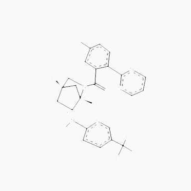 CN(c1ccc(C(F)(F)F)cn1)[C@@H]1C[C@H]2C[C@@H]1N(C(=O)c1cc(F)ccc1-c1ncccn1)C2